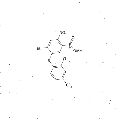 CCc1cc([N+](=O)[O-])c([PH](=O)OC)cc1Sc1ccc(C(F)(F)F)cc1Cl